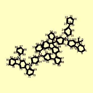 CC1(C)c2ccccc2-c2ccc(N(c3ccc(-c4ccccc4)cc3)c3ccc(C4(c5ccccc5)c5ccccc5-c5cc(-c6ccccc6-c6ccc(N(c7ccccc7)c7ccc(-n8c9ccccc9c9cc%10c%11ccccc%11n(-c%11ccccc%11)c%10cc98)cc7)cc6)ccc54)cc3)cc21